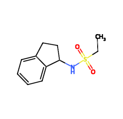 CCS(=O)(=O)NC1CCc2ccccc21